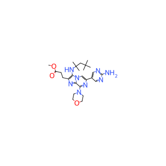 COC(=O)CCc1nc2c(N3CCOCC3)nc(-c3cnc(N)nc3)cn2c1NC(C)(C)CC(C)(C)C